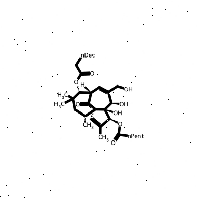 CCCCCCCCCCCC(=O)O[C@@H]1[C@@H]2C=C(CO)[C@@H](O)[C@]3(O)[C@@H](OC(=O)CCCCC)C(C)=C[C@@]3(C2=O)[C@H](C)CC1(C)C